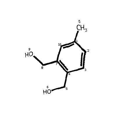 Cc1ccc(CO)c(CO)c1